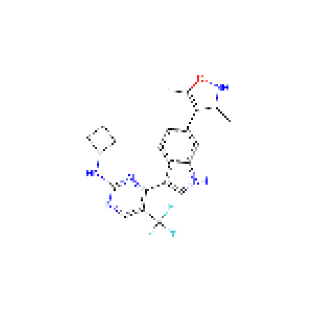 CC1=C(c2ccc3c(-c4nc(NC5CCC5)ncc4C(F)(F)F)c[nH]c3c2)C(C)NO1